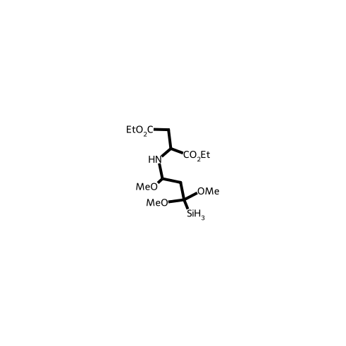 CCOC(=O)CC(NC(CC([SiH3])(OC)OC)OC)C(=O)OCC